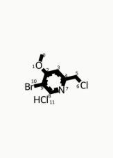 COc1cc(CCl)ncc1Br.Cl